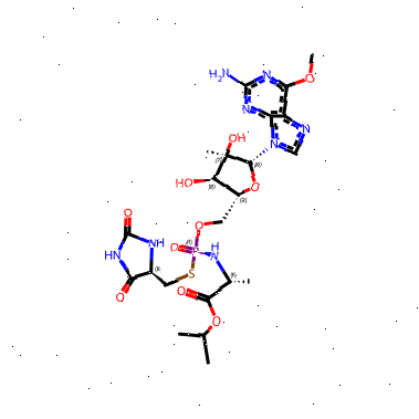 COc1nc(N)nc2c1ncn2[C@@H]1O[C@H](CO[P@](=O)(N[C@H](C)C(=O)OC(C)C)SC[C@@H]2NC(=O)NC2=O)[C@@H](O)[C@@]1(C)O